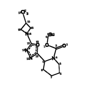 CC(C)(C)OC(=O)N1CCCCC1c1nnc(N2CC(C(F)(F)F)C2)o1